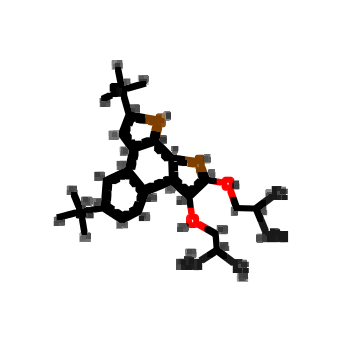 CCCCC(CC)COc1sc2c3s[c]([Sn]([CH3])([CH3])[CH3])cc3c3c[c]([Sn]([CH3])([CH3])[CH3])ccc3c2c1OCC(CC)CCCC